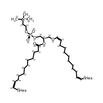 CCCCCC/C=C\CCCCCCCC/C=C\OC[C@H](COP(=O)([O-])OCC[N+](C)(C)C)OC(=O)CCCCCCCCC/C=C\CCCCCC